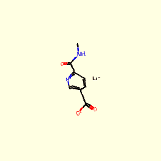 CNC(=O)c1ccc(C(=O)[O-])cn1.[Li+]